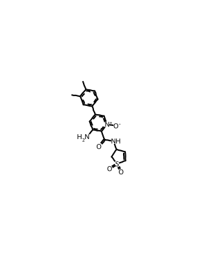 Cc1ccc(-c2cc(N)c(C(=O)NC3C=CS(=O)(=O)C3)[n+]([O-])c2)cc1C